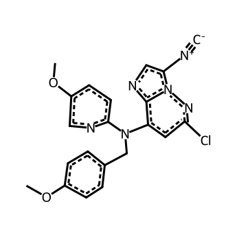 [C-]#[N+]c1cnc2c(N(Cc3ccc(OC)cc3)c3ccc(OC)cn3)cc(Cl)nn12